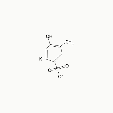 Cc1cc(S(=O)(=O)[O-])ccc1O.[K+]